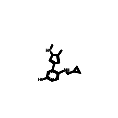 CNC1C=C(c2cc(S)ccc2NCC2CC2)C=C1C